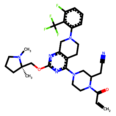 C=CC(=O)N1CCN(c2nc(OC[C@@]3(C)CCCN3C)nc3c2CCN(c2cccc(F)c2C(F)(F)F)C3)CC1CC#N